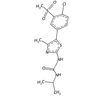 Cc1nc(NC(=O)NC(C)C)sc1-c1ccc(Cl)c(S(C)(=O)=O)c1